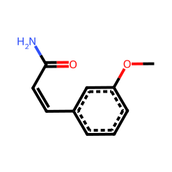 COc1cccc(/C=C\C(N)=O)c1